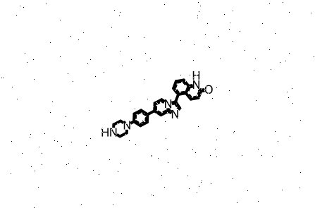 O=c1ccc2c(-c3cnc4cc(-c5ccc(N6CCNCC6)cc5)ccn34)cccc2[nH]1